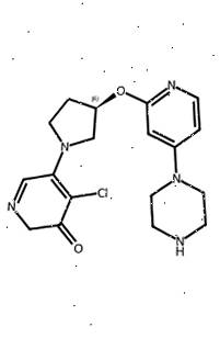 O=C1CN=CC(N2CC[C@@H](Oc3cc(N4CCNCC4)ccn3)C2)=C1Cl